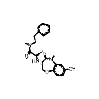 CN(CCc1ccccc1)C(=O)C(=O)N[C@H]1COc2ccc(O)cc2N(C)C1=O